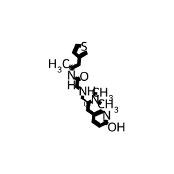 C[C@@H](Cc1ccsc1)NC(=O)CNC[C@H](Cc1ccc(O)nc1)N(C)C